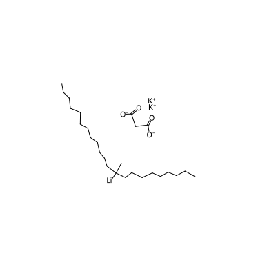 O=C([O-])CC(=O)[O-].[K+].[K+].[Li][C](C)(CCCCCCCCC)CCCCCCCCCCCC